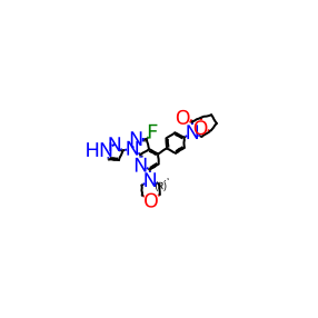 C[C@@H]1COCCN1c1cc(-c2ccc(N3CC4CCC(O4)C3=O)cc2)c2c(F)nn(-c3cc[nH]n3)c2n1